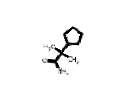 CC(C)(C(N)=O)C1CCCC1